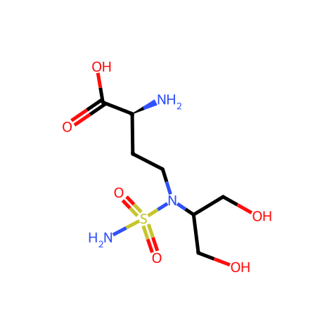 N[C@@H](CCN(C(CO)CO)S(N)(=O)=O)C(=O)O